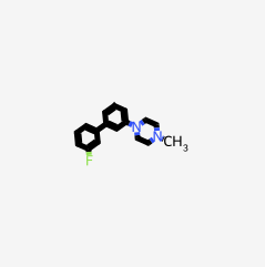 CN1CCN(c2c[c]cc(-c3cccc(F)c3)c2)CC1